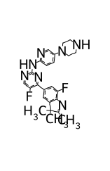 CC1=Nc2c(F)cc(-c3nc(Nc4ccc(N5CCNCC5)cn4)ncc3F)cc2C1(C)C